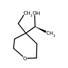 CCC1([C@H](C)O)CCOCC1